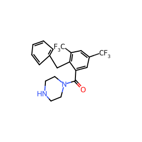 O=C(c1cc(C(F)(F)F)cc(C(F)(F)F)c1Cc1ccccc1)N1CCNCC1